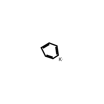 [K].c1ccccc1